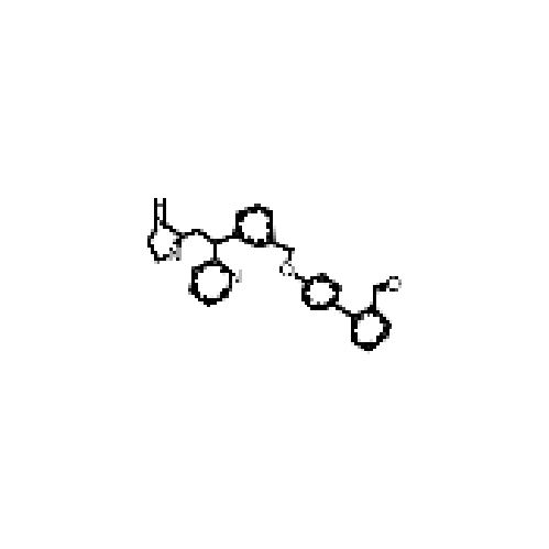 O=Cc1ccccc1-c1ccc(OCc2cccc(C(CC3=NCCN3)c3ccccn3)c2)cc1